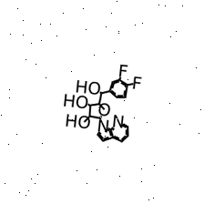 OC(c1ccc(F)c(F)c1)C1OC(n2ccc3cccnc32)C(O)C1O